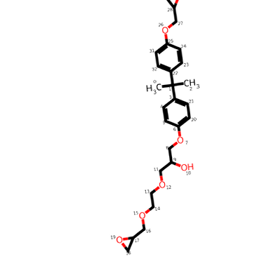 CC(C)(c1ccc(OCC(O)COCCOCC2CO2)cc1)c1ccc(OCC2CO2)cc1